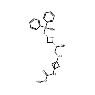 CC(C)(C)OC(=O)NC12CC(NCC(O)[C@H]3C[C@@H](O[Si](c4ccccc4)(c4ccccc4)C(C)(C)C)C3)(C1)C2